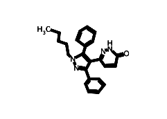 CCCCCn1nc(-c2ccccc2)c(-c2ccc(=O)[nH]n2)c1-c1ccccc1